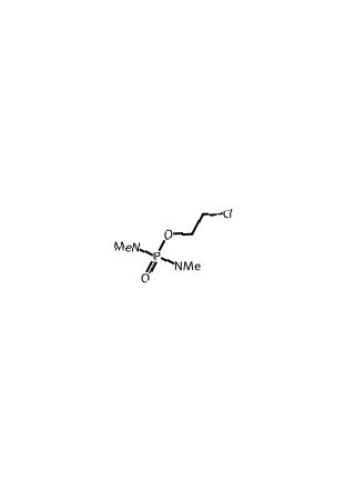 CNP(=O)(NC)OCCCl